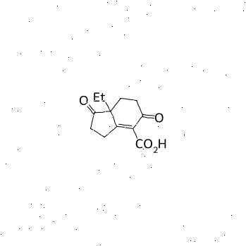 CCC12CCC(=O)C(C(=O)O)=C1CCC2=O